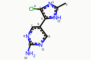 Cc1nc(Cl)c(-c2cnc(N)nc2)[nH]1